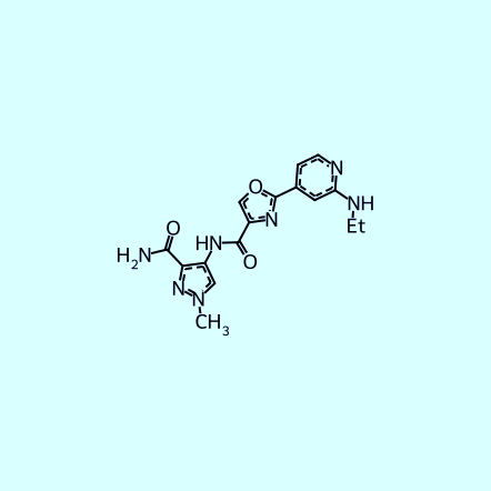 CCNc1cc(-c2nc(C(=O)Nc3cn(C)nc3C(N)=O)co2)ccn1